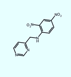 O=[N+]([O-])c1ccc(NCc2ccncn2)c([N+](=O)[O-])c1